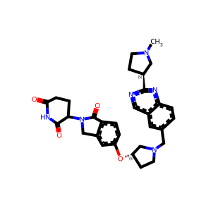 CN1CC[C@H](c2ncc3cc(CN4CC[C@H](Oc5ccc6c(c5)CN(C5CCC(=O)NC5=O)C6=O)C4)ccc3n2)C1